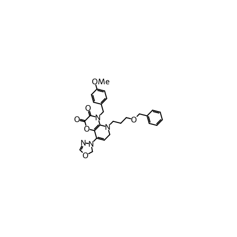 COc1ccc(Cn2c3c(oc(=O)c2=O)C(N2COC=N2)=CCN3CCCOCc2ccccc2)cc1